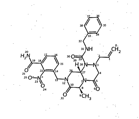 C=CCN1CC(=O)N2[C@@H](C)C(=O)N(Cc3cccc(C(N)=O)c3[N+](=O)[O-])C[C@@H]2N1C(=O)NCc1ccccc1